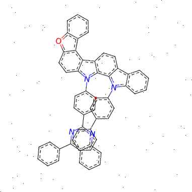 c1ccc(-c2ccc(-n3c4ccccc4c4ccc5c6c7c(ccc6n(-c6ccc(-c8nc(-c9ccccc9)c9ccccc9n8)cc6)c5c43)oc3ccccc37)cc2)cc1